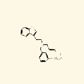 C/C=C/CN(CCc1c[nH]c2ccccc12)Cc1cccc(OC)c1